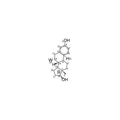 C[C@]12CC[C@@H]3c4ccc(O)cc4CC[C@H]3[C@@H]1CC[C@@H]2O.[W]